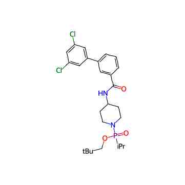 CC(C)P(=O)(OCC(C)(C)C)N1CCC(NC(=O)c2cccc(-c3cc(Cl)cc(Cl)c3)c2)CC1